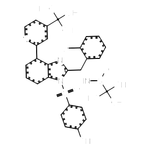 Cc1ccc(S(=O)(=O)n2c([C@@H](N[S+]([O-])C(C)(C)C)c3ccccc3Cl)nc3c(-c4cc(C(C)(C)O)ccn4)cccc32)cc1